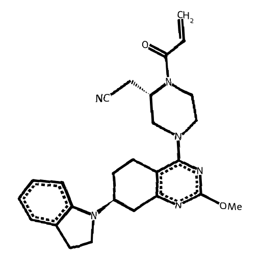 C=CC(=O)N1CCN(c2nc(OC)nc3c2CC[C@H](N2CCc4ccccc42)C3)C[C@@H]1CC#N